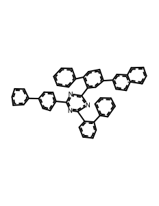 c1ccc(-c2ccc(-c3nc(-c4ccccc4-c4ccccc4)nc(-c4cc(-c5ccc6ccccc6c5)ccc4-c4ccccc4)n3)cc2)cc1